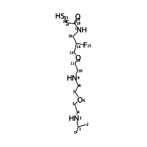 CC(C)NCCOCCNCCOCC(F)CNC(=O)SS